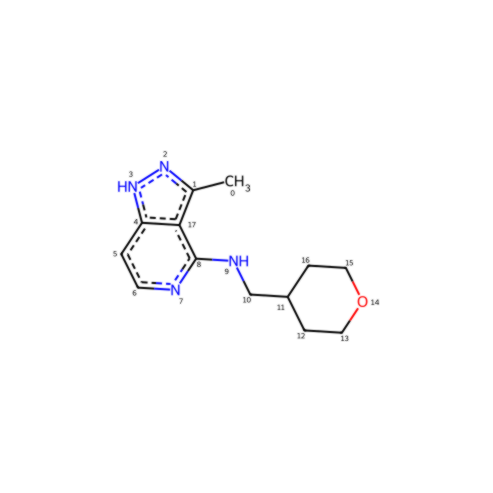 Cc1n[nH]c2ccnc(NCC3CCOCC3)c12